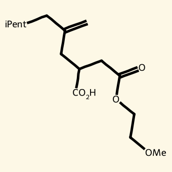 C=C(CC(C)CCC)CC(CC(=O)OCCOC)C(=O)O